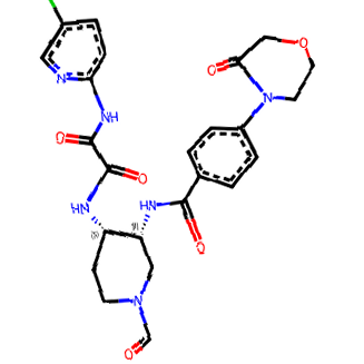 O=CN1CC[C@H](NC(=O)C(=O)Nc2ccc(Cl)cn2)[C@H](NC(=O)c2ccc(N3CCOCC3=O)cc2)C1